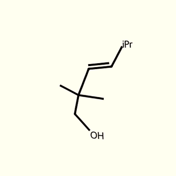 CC(C)/C=C/C(C)(C)CO